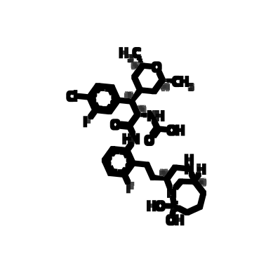 C[C@@H]1CC([C@H](c2ccc(Cl)c(F)c2)[C@H](NC(=O)O)C(=O)Nc2cccc(F)c2CC[C@H]2CN[C@@H]3CCCS(O)(O)N2C3)C[C@H](C)O1